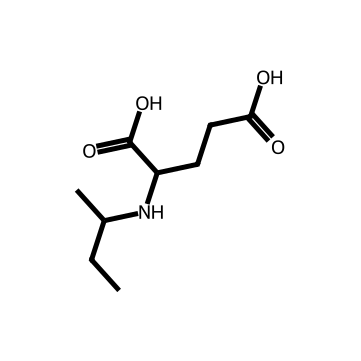 CCC(C)NC(CCC(=O)O)C(=O)O